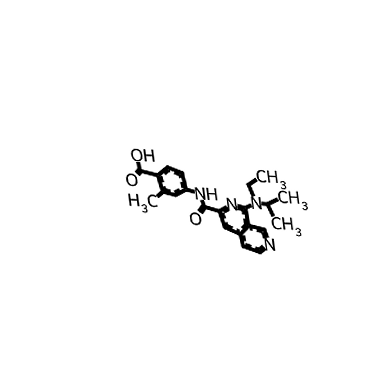 CCN(c1nc(C(=O)Nc2ccc(C(=O)O)c(C)c2)cc2ccncc12)C(C)C